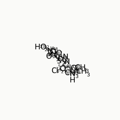 Cc1cc(Cl)cc(-c2ncnc3cc(Cn4c(=O)ccn(CCO)c4=O)sc23)c1CC1CNCC(C)(C)O1